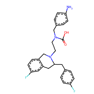 Nc1ccc(CN(CCN2Cc3ccc(F)cc3CC2Cc2ccc(F)cc2)C(=O)O)cc1